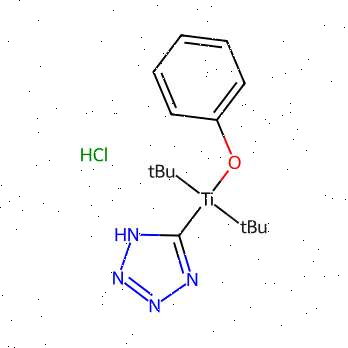 C[C](C)(C)[Ti]([O]c1ccccc1)([c]1nnn[nH]1)[C](C)(C)C.Cl